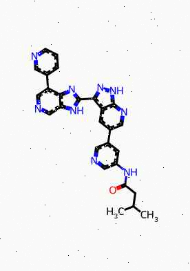 CC(C)CC(=O)Nc1cncc(-c2cnc3[nH]nc(-c4nc5c(-c6cccnc6)cncc5[nH]4)c3c2)c1